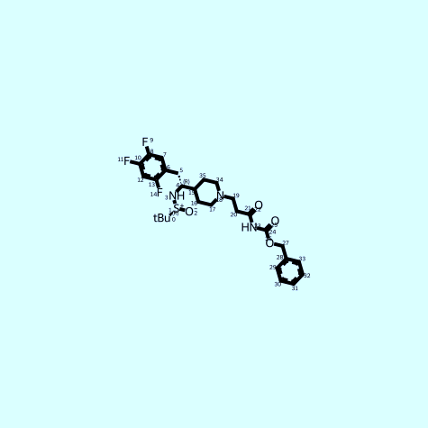 CC(C)(C)[S@+]([O-])N[C@H](Cc1cc(F)c(F)cc1F)C1CCN(CCC(=O)NC(=O)OCc2ccccc2)CC1